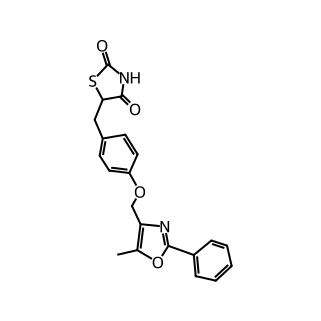 Cc1oc(-c2ccccc2)nc1COc1ccc(CC2SC(=O)NC2=O)cc1